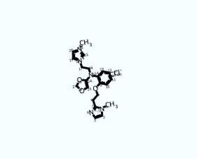 CN1C=C[N+]=C1CCOc1ccccc1N(CC[n+]1ccn(C)c1)C1=COCO1.[Cl-].[Cl-]